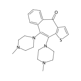 CN1CCN(c2c(N3CCN(C)CC3)c3sccc3c(=O)c3ccccc23)CC1